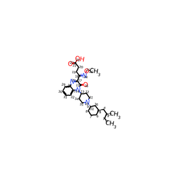 CC[C@@H](C)C[C@H]1CCC[C@H](N2CCC(n3c(=O)c(/C(CCC(=O)O)=N/OC)nc4ccccc43)CC2)C1